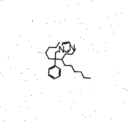 CCCCCCC(CCC)C(C[C@H](C)CCC)(Cn1ccnc1)c1ccccc1